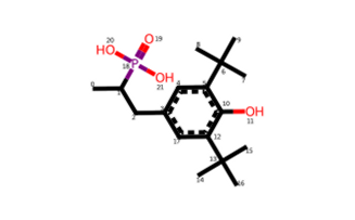 CC(Cc1cc(C(C)(C)C)c(O)c(C(C)(C)C)c1)P(=O)(O)O